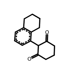 O=C1CCCC(=O)C1c1cccc2c1CCCC2